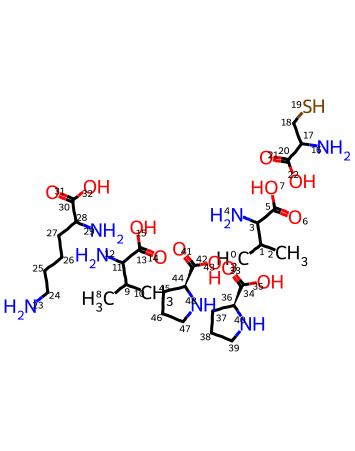 CC(C)C(N)C(=O)O.CC(C)C(N)C(=O)O.NC(CS)C(=O)O.NCCCCC(N)C(=O)O.O=C(O)[C@@H]1CCCN1.O=C(O)[C@@H]1CCCN1